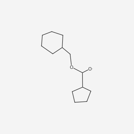 [O]C(OCC1CCCCC1)C1CCCC1